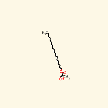 CCCCCCCCCCCCCCCCCCCCOC(=O)C(C)=CO